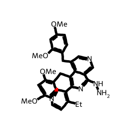 CCc1ccncc1-c1nc(NN)c2cncc(Cc3ccc(OC)cc3OC)c2c1Cc1ccc(OC)cc1OC